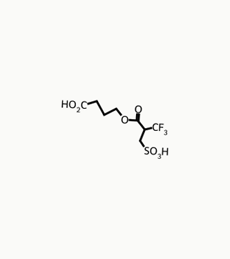 O=C(O)CCCOC(=O)C(CS(=O)(=O)O)C(F)(F)F